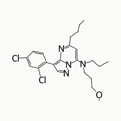 CCCCc1cc(N(CCC)CCCOC)n2ncc(-c3ccc(Cl)cc3Cl)c2n1